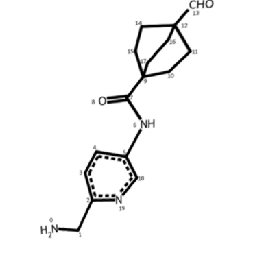 NCc1ccc(NC(=O)C23CCC(C=O)(CC2)CC3)cn1